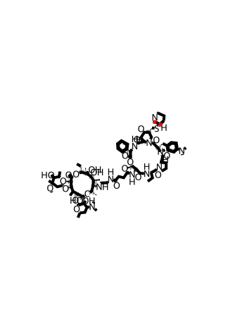 CCC1NC(=O)[C@@H](NC(=O)CCC(=O)NCCN[C@@H]2[C@H](C)[C@@H](O)[C@](C)(O)[C@@H](CC)OC(=O)[C@H](C)[C@@H](OC3CC(C)(OC)C(O)C(C)O3)C(C)[C@@H](OC3OC(C)CC(N(C)C)C3O)[C@](C)(O)C[C@H]2C)[C@@H](C)OC(=O)[C@H](c2ccccc2)NC(=O)[C@@H]2CC(=O)[C@H](CS[C@@H]3CN4CCC3CC4)CN2C(=O)[C@H](Cc2ccc(N(C)C)cc2)N(C)C(=O)[C@@H]2CCCN2C1=O